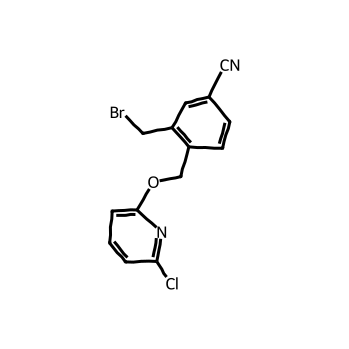 N#Cc1ccc(COc2cccc(Cl)n2)c(CBr)c1